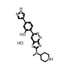 CN(c1nc2nnc(-c3ccc(-c4cn[nH]c4)cc3O)cc2s1)C1CCNCC1.Cl